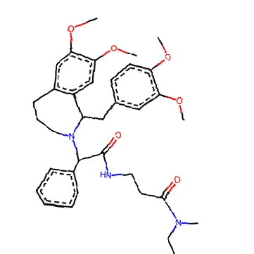 CCN(C)C(=O)CCNC(=O)C(c1ccccc1)N1CCCc2cc(OC)c(OC)cc2C1Cc1ccc(OC)c(OC)c1